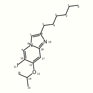 CCCCCCc1cn2cc(I)c(OC(C)C)cc2n1